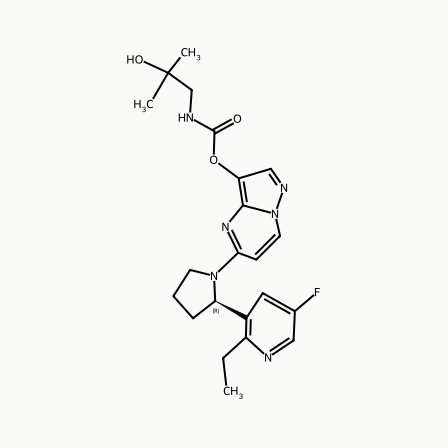 CCc1ncc(F)cc1[C@H]1CCCN1c1ccn2ncc(OC(=O)NCC(C)(C)O)c2n1